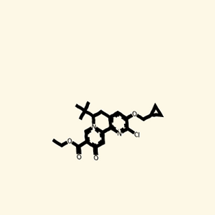 CCOC(=O)c1cn2c(cc1=O)-c1nc(Cl)c(OCC3CC3)cc1CC2C(C)(C)C